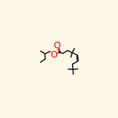 CCC(C)COC(=O)CCC(C)(C)/C=C\CC(C)(C)C